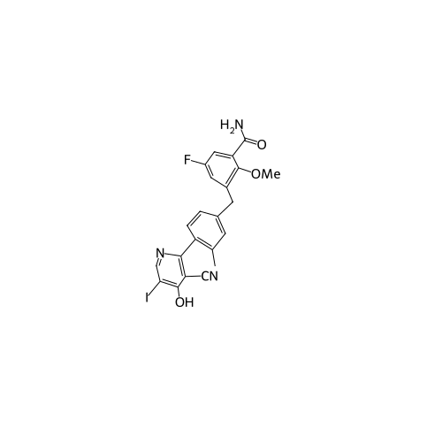 COc1c(Cc2ccc(-c3ncc(I)c(O)c3C#N)c(C)c2)cc(F)cc1C(N)=O